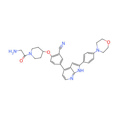 N#Cc1cc(-c2ccnc3[nH]c(-c4ccc(N5CCOCC5)cc4)cc23)ccc1OC1CCN(C(=O)CN)CC1